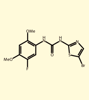 COc1cc(OC)c(NC(=O)Nc2ncc(Br)s2)cc1F